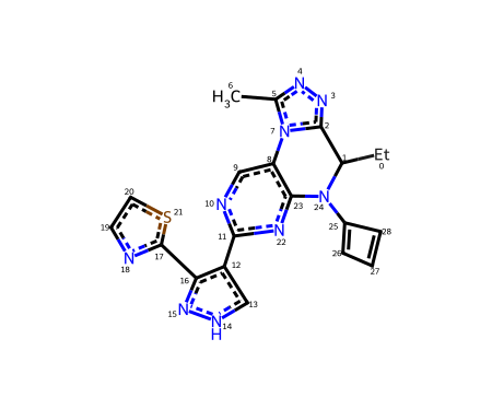 CCC1c2nnc(C)n2-c2cnc(-c3c[nH]nc3-c3nccs3)nc2N1C1=CC=C1